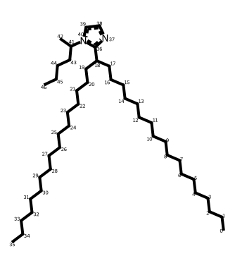 CCCCCCCCCCCCCCCCCCC(CCCCCCCCCCCCCCCCC)c1nccn1C(C)CCCC